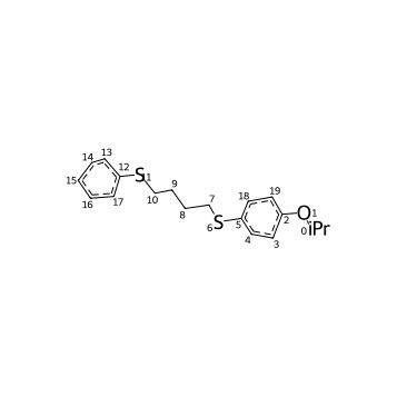 CC(C)Oc1ccc(SCCCCSc2ccccc2)cc1